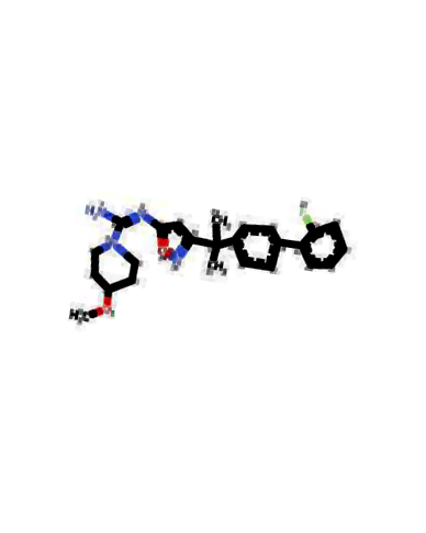 COC1CCN(/C(N)=N\c2cc(C(C)(C)c3ccc(-c4ccccc4F)cc3)no2)CC1